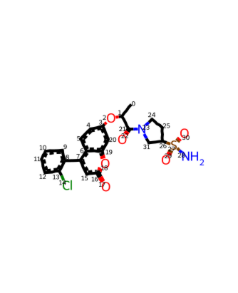 CC(Oc1ccc2c(-c3ccccc3Cl)cc(=O)oc2c1)C(=O)N1CCC(S(N)(=O)=O)C1